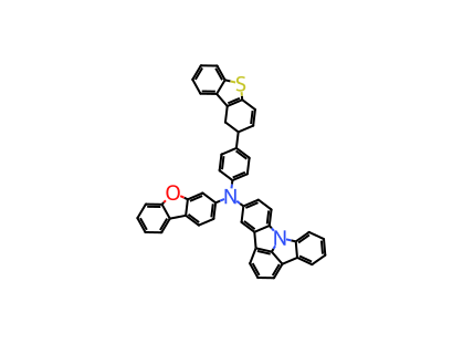 C1=CC(c2ccc(N(c3ccc4c(c3)oc3ccccc34)c3ccc4c(c3)c3cccc5c6ccccc6n4c53)cc2)Cc2c1sc1ccccc21